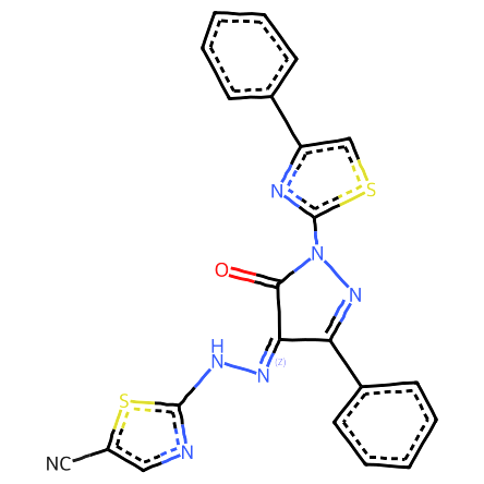 N#Cc1cnc(N/N=C2\C(=O)N(c3nc(-c4ccccc4)cs3)N=C2c2ccccc2)s1